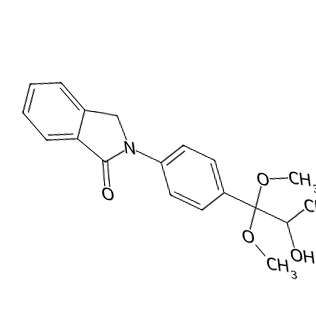 COC(OC)(c1ccc(N2Cc3ccccc3C2=O)cc1)C(C)O